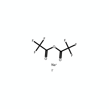 O=C(OC(=O)C(F)(F)F)C(F)(F)F.[I-].[Na+]